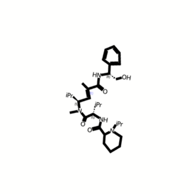 C/C(=C\[C@H](C(C)C)N(C)C(=O)[C@@H](NC(=O)C1CCCCN1C(C)C)C(C)C)C(=O)N[C@@H](CO)c1ccccc1